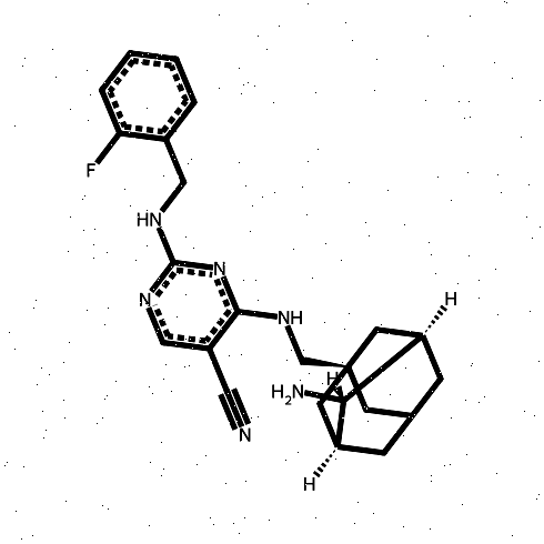 N#Cc1cnc(NCc2ccccc2F)nc1NC[C@]12CC3C[C@H](C1)[C@@H](N)[C@@H](C3)C2